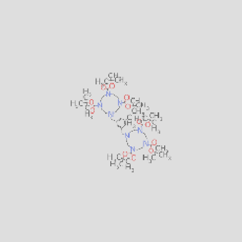 Cc1cc(CN2CCN(C(=O)OC(C)(C)C)CCN(C(=O)OC(C)(C)C)CCN(C(=O)OC(C)(C)C)CC2)cc(CN2CCN(C(=O)OC(C)(C)C)CCN(C(=O)OC(C)(C)C)CCN(C(=O)OC(C)(C)C)CC2)c1